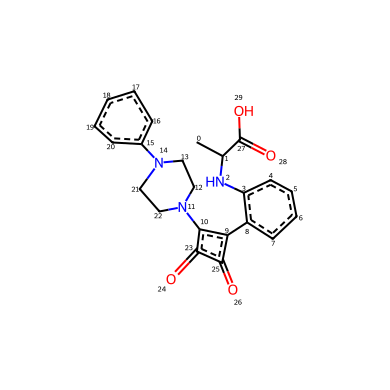 CC(Nc1ccccc1-c1c(N2CCN(c3ccccc3)CC2)c(=O)c1=O)C(=O)O